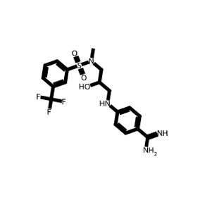 CN(CC(O)CNc1ccc(C(=N)N)cc1)S(=O)(=O)c1cccc(C(F)(F)F)c1